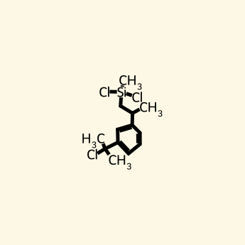 CC(C[Si](C)(Cl)Cl)c1cccc(C(C)(C)Cl)c1